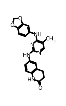 Cc1cnc(Nc2ccc3c(c2)CCC(=O)N3)nc1Nc1ccc2c(c1)OCO2